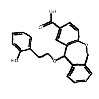 O=C(O)c1ccc2c(c1)C(OCCc1ccccc1O)c1ccccc1CO2